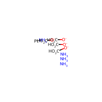 N.N.N.N.O=C([O-])O.O=C([O-])O.O=C([O-])O.O=C([O-])O.[Pt+4]